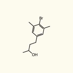 Cc1cc(CCC(C)O)cc(C)c1Br